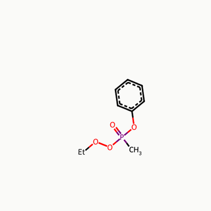 CCOOP(C)(=O)Oc1ccccc1